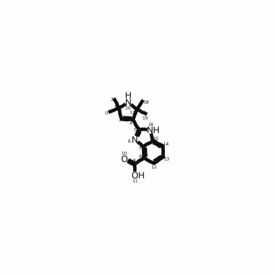 CC1(C)C=C(c2nc3c(C(=O)O)cccc3[nH]2)C(C)(C)N1